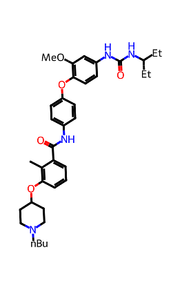 CCCCN1CCC(Oc2cccc(C(=O)Nc3ccc(Oc4ccc(NC(=O)NC(CC)CC)cc4OC)cc3)c2C)CC1